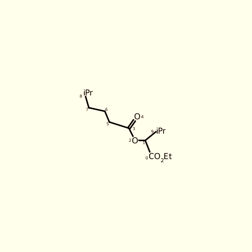 CCOC(=O)C(OC(=O)CCCC(C)C)C(C)C